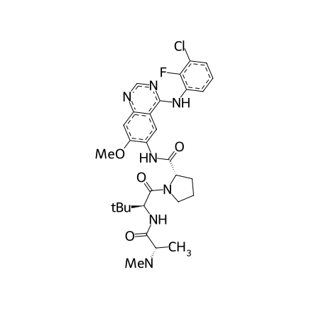 CN[C@@H](C)C(=O)N[C@H](C(=O)N1CCC[C@H]1C(=O)Nc1cc2c(Nc3cccc(Cl)c3F)ncnc2cc1OC)C(C)(C)C